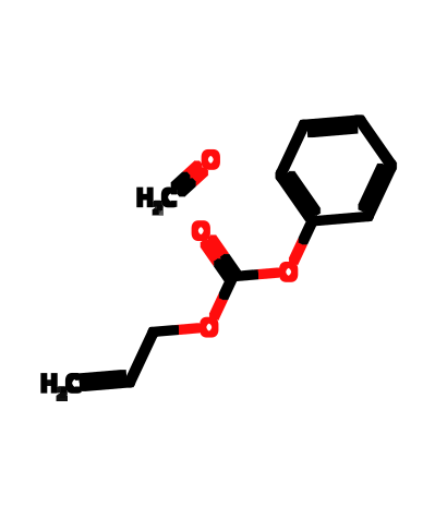 C=CCOC(=O)Oc1ccccc1.C=O